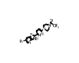 O=C(N1CCN(c2ccc(-c3nc4cc(Br)cnc4[nH]3)nn2)CC1)C(F)(F)F